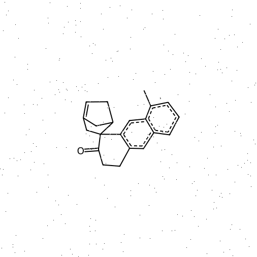 Cc1cccc2cc3c(cc12)C1(CC2=CCC1C2)C(=O)CC3